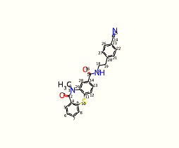 CN1C(=O)c2ccccc2Sc2ccc(C(=O)NCCc3ccc(C#N)cc3)cc21